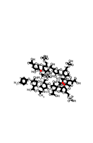 CC(=O)NC1C(O[C@@H]2C(C(=O)O)O[C@@H](Oc3ccc(C)cc3)C(O)[C@H]2O)OC(COS(=O)(=O)O)[C@@H](O[C@@H]2OC(C(=O)O)[C@@H](OC3OC(COS(=O)(=O)O)[C@@H](O[C@@H]4OC(C(=O)O)[C@@H](OC5OC(COS(=O)(=O)O)[C@@H](O[C@@H]6OC(C(=O)O)[C@@H](OC7OC(COS(=O)(=O)O)[C@@H](O[C@@H]8OC(C(=O)O)C[C@H](O)C8O)[C@H](O)C7NC(C)=O)[C@H](O)C6O)[C@H](O)C5NC(C)=O)[C@H](O)C4O)[C@H](O)C3NC(C)=O)[C@H](O)C2O)[C@@H]1O